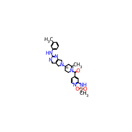 Cc1cccc(Nc2ncc3c(n2)CN([C@@H]2CCN(C(=O)c4ccnc(NS(C)(=O)=O)c4)[C@H](C)C2)C3)c1